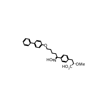 CO[C@@H](Cc1ccc(C(CCCCOc2ccc(-c3ccccc3)cc2)=NO)cc1)C(=O)O